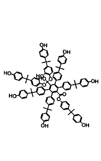 CC(C)(c1ccc(O)cc1)c1ccc(OC(=O)c2c(-c3ccc(C(C)(C)c4ccc(O)cc4)cc3)c(-c3ccc(C(C)(C)c4ccc(O)cc4)cc3)c(C(O)(Oc3ccc(C(C)(C)c4ccc(O)cc4)cc3)Oc3ccc(C(C)(C)c4ccc(O)cc4)cc3O)c(-c3ccc(C(C)(C)c4ccc(O)cc4)cc3)c2-c2ccc(C(C)(C)c3ccc(O)cc3)cc2)cc1